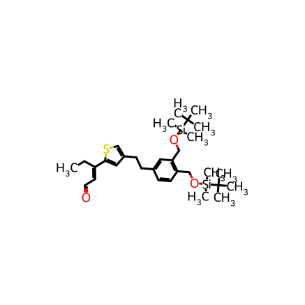 CCC(=CC=O)c1cc(CCc2ccc(CO[Si](C)(C)C(C)(C)C)c(CO[Si](C)(C)C(C)(C)C)c2)cs1